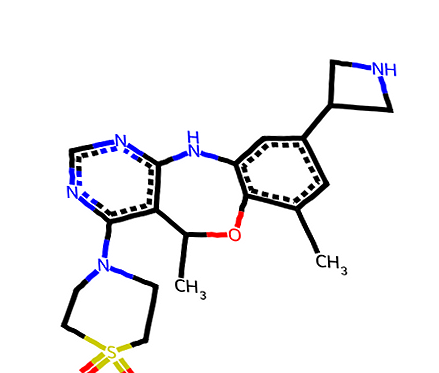 Cc1cc(C2CNC2)cc2c1OC(C)c1c(ncnc1N1CCS(=O)(=O)CC1)N2